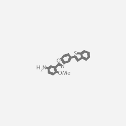 COc1ccc(N)cc1-c1nc2cc(-c3cc4ccccc4s3)ccc2o1